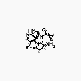 CCc1cnc2[nH]cc(NC(=O)C3CC3)c2c1N1CCCC(N)C1